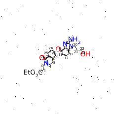 CCOC(=O)CCN1CCc2cc(Oc3cccc4c3nc(N)n4CCCO)ccc2C1=O